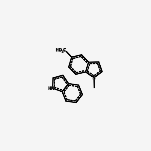 Cn1ccc2cc(C(=O)O)ccc21.c1ccc2[nH]ccc2c1